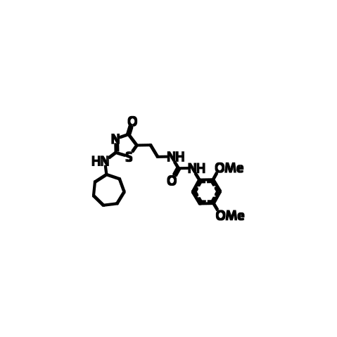 COc1ccc(NC(=O)NCCC2SC(NC3CCCCCC3)=NC2=O)c(OC)c1